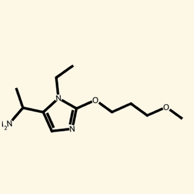 CCn1c(C(C)N)cnc1OCCCOC